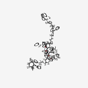 Cc1c(CN(C(=O)C2=C(c3ccc(CCCOc4c(F)ccc(F)c4Cl)cc3)CC3COCC2N3C(=O)OCCOCCO[N+](=O)[O-])C2CC2)ccnc1OCCCOC(=O)OCCOCCO[N+](=O)[O-]